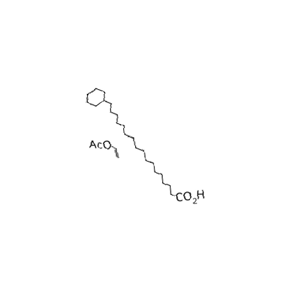 C=COC(C)=O.O=C(O)CCCCCCCCCCCCCCCCC1CCCCC1